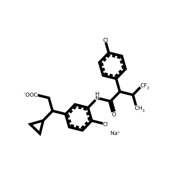 CC(C(C(=O)Nc1cc(C(CC(=O)[O-])C2CC2)ccc1Cl)c1ccc(Cl)cc1)C(F)(F)F.[Na+]